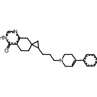 O=c1[nH]cnc2c1CCC1(C2)CC1CCCN1CC=C(c2ccccc2)CC1